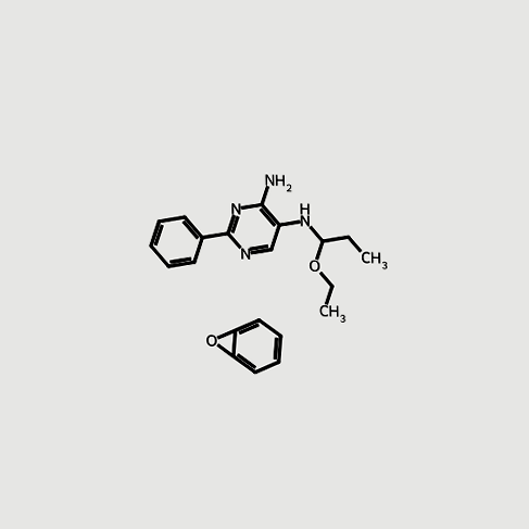 CCOC(CC)Nc1cnc(-c2ccccc2)nc1N.c1ccc2c(c1)O2